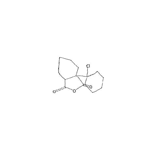 O=C1OC(=O)C2(C3(Cl)CCCCC3)CCCCC12